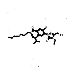 CCCCCCCn1cc(C(C)C)c2cc(-n3nc(CO)n(CC)c3=O)c(F)cc2c1=O